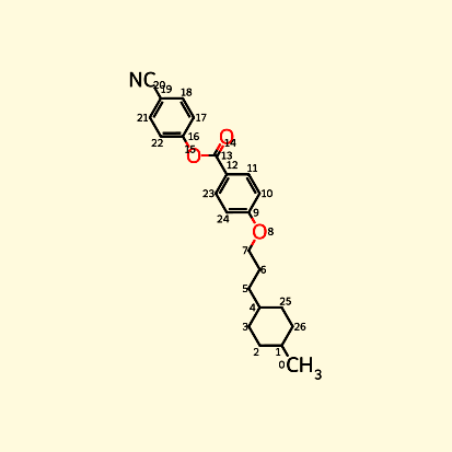 CC1CCC(CCCOc2ccc(C(=O)Oc3ccc(C#N)cc3)cc2)CC1